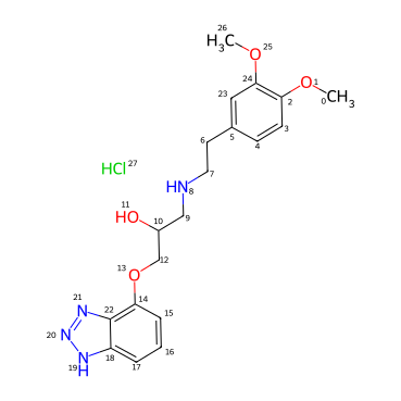 COc1ccc(CCNCC(O)COc2cccc3[nH]nnc23)cc1OC.Cl